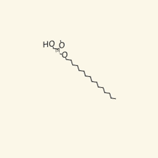 CCCCCCCCCCCCCCCCOC[C@H](CO)OC